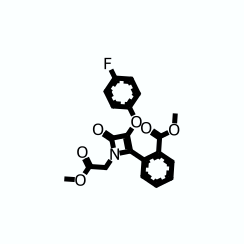 COC(=O)CN1C(=O)C(Oc2ccc(F)cc2)=C1c1ccccc1C(=O)OC